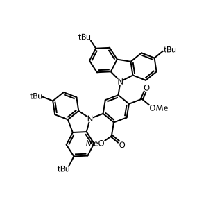 COC(=O)c1cc(C(=O)OC)c(-n2c3ccc(C(C)(C)C)cc3c3cc(C(C)(C)C)ccc32)cc1-n1c2ccc(C(C)(C)C)cc2c2cc(C(C)(C)C)ccc21